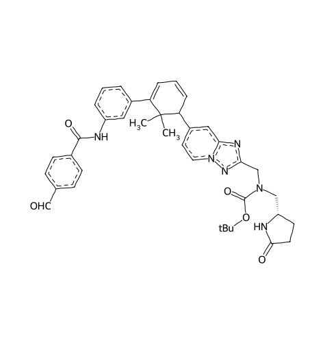 CC(C)(C)OC(=O)N(Cc1nc2cc(C3C=CC=C(c4cccc(NC(=O)c5ccc(C=O)cc5)c4)C3(C)C)ccn2n1)C[C@@H]1CCC(=O)N1